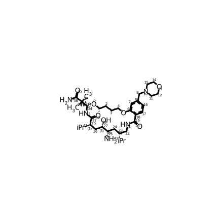 COCCCCOc1cc(CN2CCOCC2)ccc1C(=O)NC[C@@H](C[C@H](N)[C@@H](O)C[C@H](C(=O)NCC(C)(C)C(N)=O)C(C)C)C(C)C